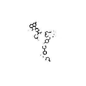 CCc1c(F)ccc2cc(O)cc(-c3ncc4c(N5CCC[C@@](C)(O)C5)nc(OC[C@@]56CCC(C(C)(C)C)N5[C@H](C(CC5CCC(CN7CCC(c8ccc9c(c8)n(C)c(=O)n9C8CCC(=O)NC8=O)CC7)CC5)OC(N)=O)CC6)nc4c3F)c12